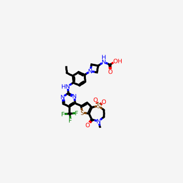 CCc1cc(N2CC(NC(=O)O)C2)ccc1Nc1ncc(C(F)(F)F)c(-c2cc3c(s2)C(=O)N(C)CCS3(=O)=O)n1